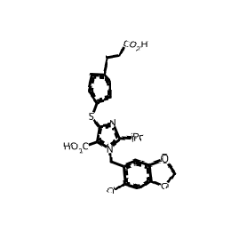 CC(C)c1nc(Sc2ccc(CCC(=O)O)cc2)c(C(=O)O)n1Cc1cc2c(cc1Cl)OCO2